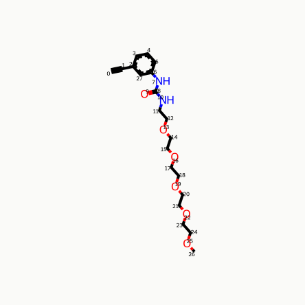 C#Cc1cccc(NC(=O)NCCOCCOCCOCCOCCOC)c1